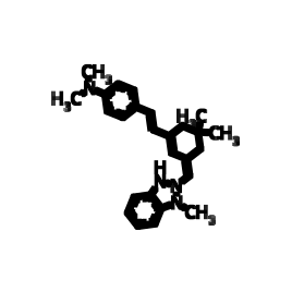 CN(C)c1ccc(C=CC2=CC(=CN3Nc4ccccc4N3C)CC(C)(C)C2)cc1